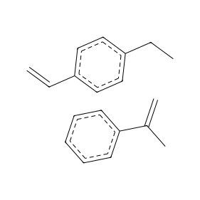 C=C(C)c1ccccc1.C=Cc1ccc(CC)cc1